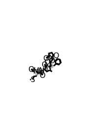 CSCC[C@H](NC=O)C(=O)N[C@H]1CC(C)N([C@@H](Cc2ccccc2)C(=O)ON2C(=O)CCC2=O)C1=O